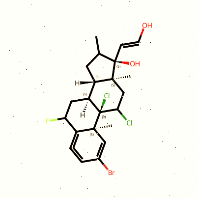 CC1C[C@H]2[C@@H]3CC(F)C4=C=CC(Br)=C[C@]4(C)[C@@]3(Cl)C(Cl)C[C@]2(C)[C@@]1(O)C=CO